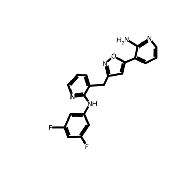 Nc1ncccc1-c1cc(Cc2cccnc2Nc2cc(F)cc(F)c2)no1